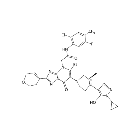 CCc1c(N2CCN(c3cnn(C4CC4)c3O)[C@H](C)C2)c(=O)n2nc(C3=CCOCC3)nc2n1CC(=O)Nc1cc(F)c(C(F)(F)F)cc1Cl